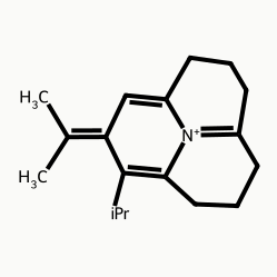 CC(C)=c1cc2[n+]3c(c1C(C)C)CCCC=3CCC2